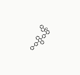 c1ccc(-c2ccc(-c3c4ccccc4c(-c4ccc(-c5cccc6oc7c8ccccc8ccc7c56)cc4)c4ccccc34)cc2)cc1